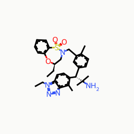 CC[C@@H]1CN(Cc2cc([C@@H](c3ccc4c(nnn4CC)c3C)C(C)(C)N)ccc2C)S(=O)(=O)c2ccccc2O1